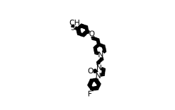 CSc1ccc(OCCC2CCN(CCN3CCN(c4ccc(F)cc4)C3=O)CC2)cc1